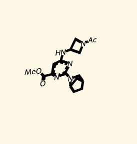 COC(=O)c1cc(NC2CN(C(C)=O)C2)nc(N2CC3CCC2C3)n1